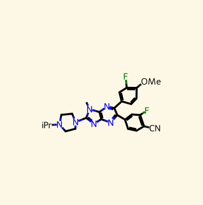 COc1ccc(-c2nc3c(nc2-c2ccc(C#N)c(F)c2)nc(N2CCN(C(C)C)CC2)n3C)cc1F